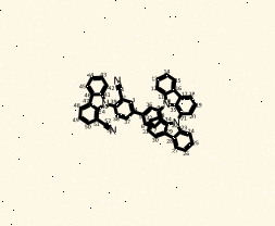 N#Cc1cc(-c2cccc(-n3c4ccccc4c4cccc(-n5c6ccccc6c6ccccc65)c43)c2)ccc1-n1c2ccccc2c2cccc(C#N)c21